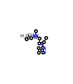 CC1(C)c2ccccc2-c2ccc(-c3nc(-c4ccccc4)nc(-c4cccc(-c5cccc6c5c5cc(-c7ccccc7)ccc5n6-c5cnc6c(c5)C5(c7ccccc7-c7ccccc75)c5cccnc5-6)c4)n3)cc21